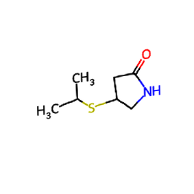 CC(C)SC1CNC(=O)C1